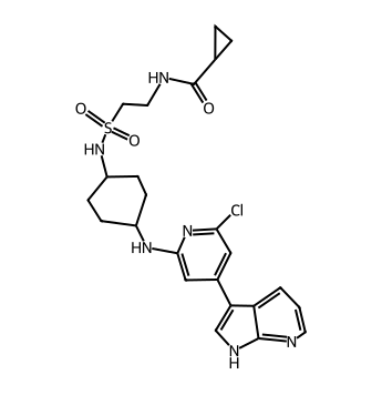 O=C(NCCS(=O)(=O)NC1CCC(Nc2cc(-c3c[nH]c4ncccc34)cc(Cl)n2)CC1)C1CC1